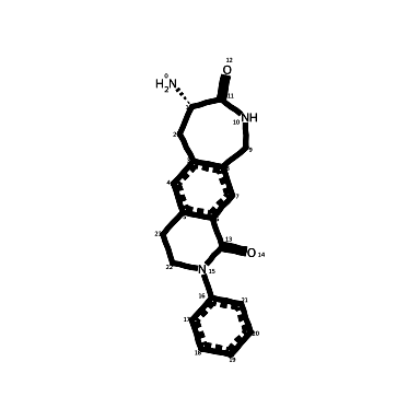 N[C@H]1Cc2cc3c(cc2CNC1=O)C(=O)N(c1ccccc1)CC3